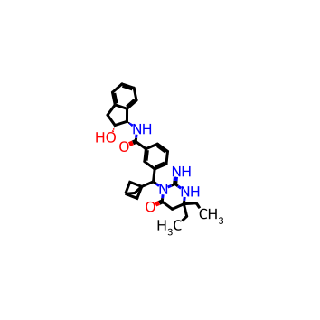 CCC1(CC)CC(=O)N(C(c2cccc(C(=O)N[C@@H]3c4ccccc4C[C@H]3O)c2)C23CC(C2)C3)C(=N)N1